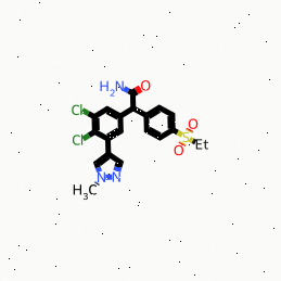 CCS(=O)(=O)c1ccc(C(C(N)=O)c2cc(Cl)c(Cl)c(-c3cnn(C)c3)c2)cc1